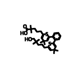 CC1(C)C=C(CCCC(C)(C)CO)SC(c2ccccc2C2=CC(C)(C)C=C(CCCC(C)(C)C(=O)O)S2)=C1